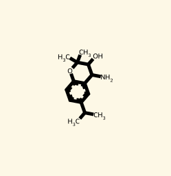 CC(C)c1ccc2c(c1)C(N)C(O)C(C)(C)O2